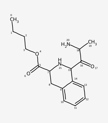 CCCCOC(=O)C1Cc2ccccc2C(C(=O)C(C)N)N1